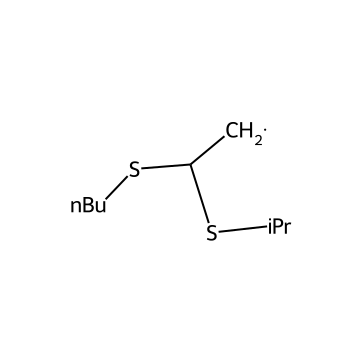 [CH2]C(SCCCC)SC(C)C